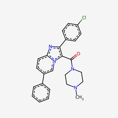 CN1CCN(C(=O)c2c(-c3ccc(Cl)cc3)nc3ccc(-c4ccccc4)cn23)CC1